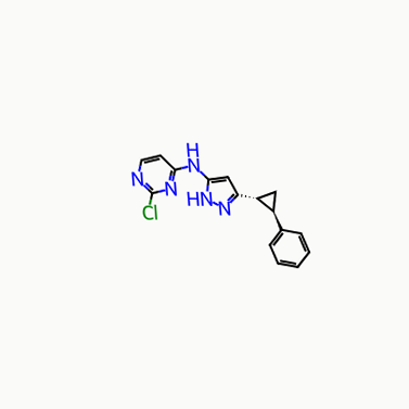 Clc1nccc(Nc2cc([C@@H]3C[C@H]3c3ccccc3)n[nH]2)n1